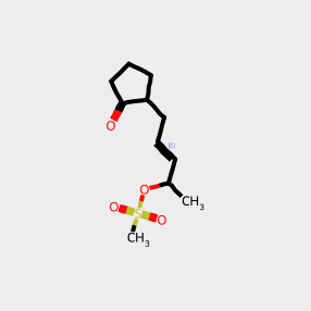 CC(/C=C/CC1CCCC1=O)OS(C)(=O)=O